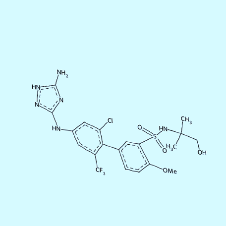 COc1ccc(-c2c(Cl)cc(Nc3n[nH]c(N)n3)cc2C(F)(F)F)cc1S(=O)(=O)NC(C)(C)CO